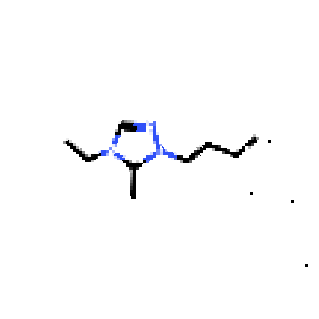 CCCCN1N=CN(CC)C1C